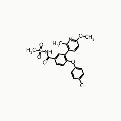 COc1ccc(-c2cc(C(=O)NS(C)(=O)=O)ccc2Oc2ccc(Cl)cc2)c(C)n1